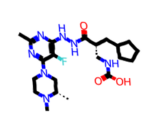 Cc1nc(NNC(=O)[C@@H](CNC(=O)O)CC2CCCC2)c(F)c(N2CCN(C)[C@@H](C)C2)n1